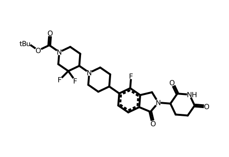 CC(C)(C)OC(=O)N1CCC(N2CCC(c3ccc4c(c3F)CN(C3CCC(=O)NC3=O)C4=O)CC2)C(F)(F)C1